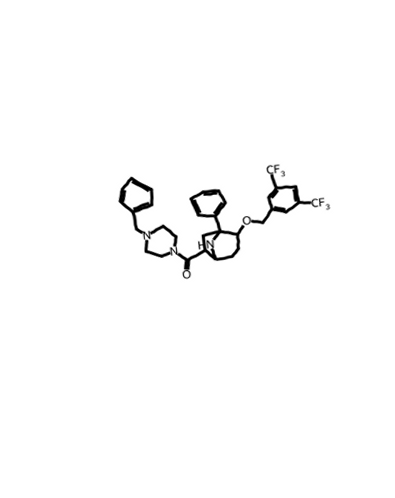 O=C(C1CC2(c3ccccc3)NC1CCC2OCc1cc(C(F)(F)F)cc(C(F)(F)F)c1)N1CCN(Cc2ccccc2)CC1